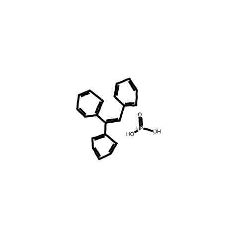 C(=C(c1ccccc1)c1ccccc1)c1ccccc1.O=[PH](O)O